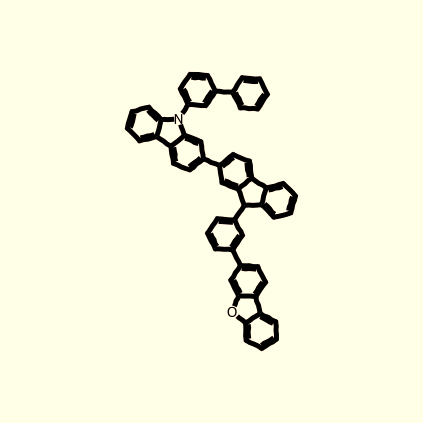 c1ccc(-c2cccc(-n3c4ccccc4c4ccc(-c5ccc6c(c5)C(c5cccc(-c7ccc8c(c7)oc7ccccc78)c5)c5ccccc5-6)cc43)c2)cc1